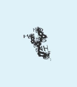 Cc1ccc(C(=O)Nc2cc(C(=O)Nc3cccc4cc(S(=O)(=O)O)ccc34)cc(C(=O)Nc3cccc4cc(S(=O)(=O)O)ccc34)c2)cc1[N+](=O)[O-]